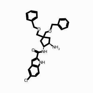 N[C@@H]1CC(COCc2ccccc2)(COCc2ccccc2)C[C@H]1NC(=O)c1cc2cc(Cl)ccc2[nH]1